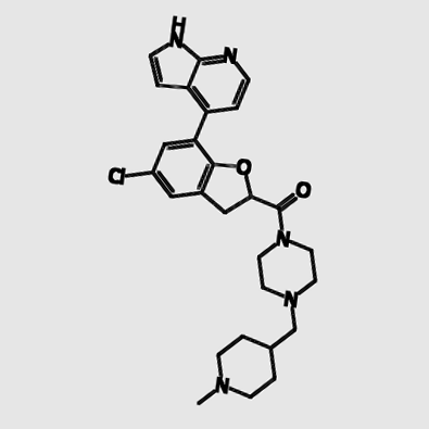 CN1CCC(CN2CCN(C(=O)C3Cc4cc(Cl)cc(-c5ccnc6[nH]ccc56)c4O3)CC2)CC1